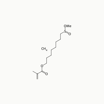 C.C=C(C)C(=O)OCCCCCCCCS(=O)OC